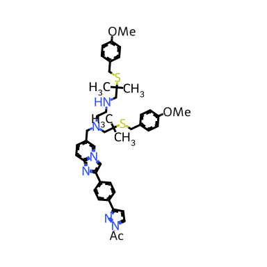 COc1ccc(CSC(C)(C)CNCCN(Cc2ccc3nc(-c4ccc(-c5ccn(C(C)=O)n5)cc4)cn3c2)CC(C)(C)SCc2ccc(OC)cc2)cc1